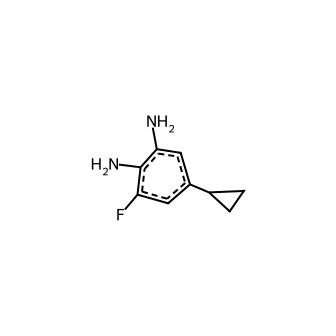 Nc1cc(C2CC2)cc(F)c1N